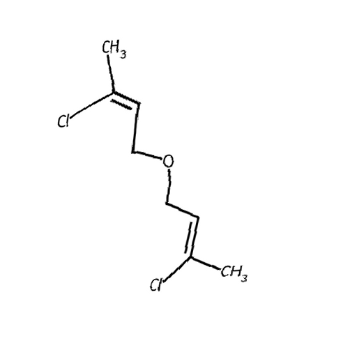 CC(Cl)=CCOCC=C(C)Cl